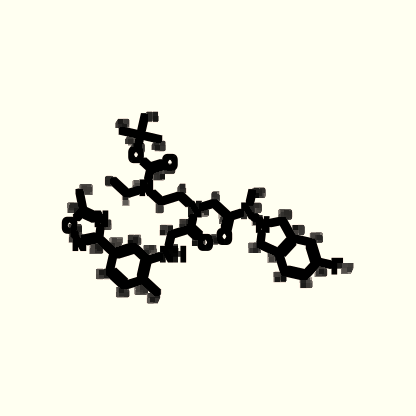 CCN(CCN(CC(=O)N(C)N1Cc2ccc(F)cc2C1)C(=O)CNc1cc(-c2noc(C)n2)ccc1C)C(=O)OC(C)(C)C